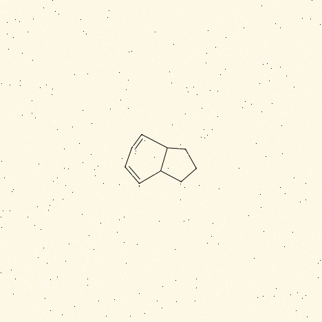 [C]1=CC=CC2CCCC12